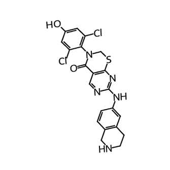 O=C1c2cnc(Nc3ccc4c(c3)CCNC4)nc2SCN1c1c(Cl)cc(O)cc1Cl